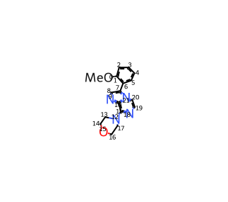 COc1ccccc1-c1cnc2c(N3CCOCC3)nccn12